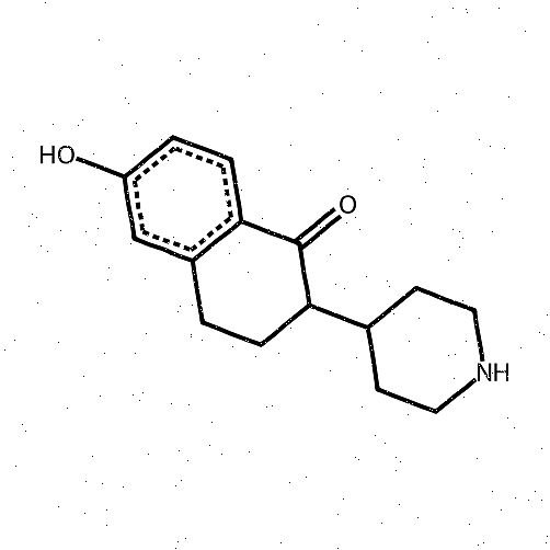 O=C1c2ccc(O)cc2CCC1C1CCNCC1